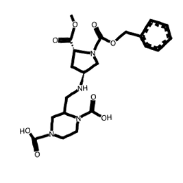 COC(=O)[C@H]1C[C@H](NCC2CN(C(=O)O)CCN2C(=O)O)CN1C(=O)OCc1ccccc1